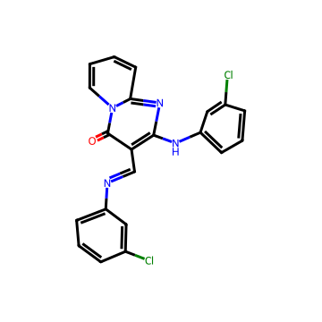 O=c1c(C=Nc2cccc(Cl)c2)c(Nc2cccc(Cl)c2)nc2ccccn12